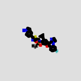 CS(=O)(=O)N(Cc1cnc(-c2ccc3[nH]ccc3c2)s1)c1cc2oc(-c3ccc(F)cc3)c(-c3ncc[nH]3)c2cc1C1CC1